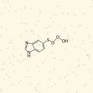 OOOSc1ccc2[nH]cnc2c1